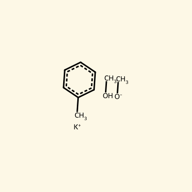 CO.C[O-].Cc1ccccc1.[K+]